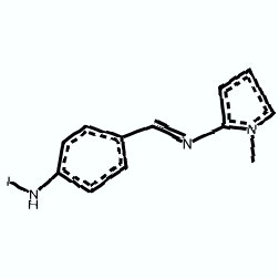 Cn1cccc1/N=C/c1ccc(NI)cc1